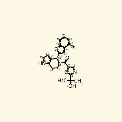 CC(C)(O)c1ncc(C(=O)N2CCc3[nH]cnc3[C@H]2c2cc3c(F)cccc3o2)o1